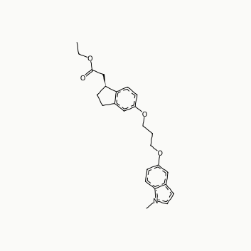 CCOC(=O)C[C@@H]1CCc2cc(OCCCOc3ccc4c(ccn4C)c3)ccc21